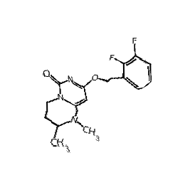 CC1CCn2c(cc(OCc3cccc(F)c3F)nc2=O)N1C